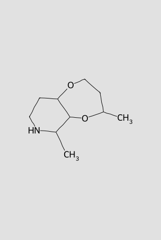 CC1CCOC2CCNC(C)C2O1